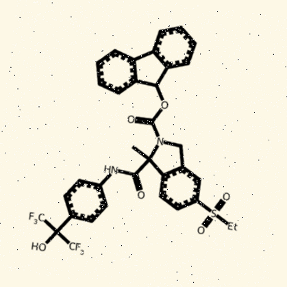 CCS(=O)(=O)c1ccc2c(c1)CN(C(=O)OC1c3ccccc3-c3ccccc31)C2(C)C(=O)Nc1ccc(C(O)(C(F)(F)F)C(F)(F)F)cc1